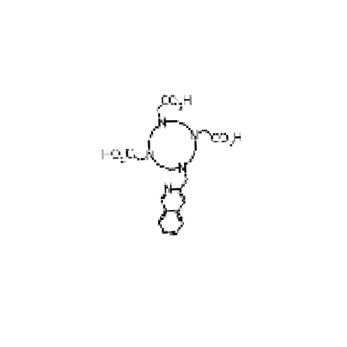 O=C(O)CN1CCN(CC(=O)O)CCN(Cc2cc3ccccc3cn2)CCN(CC(=O)O)CC1